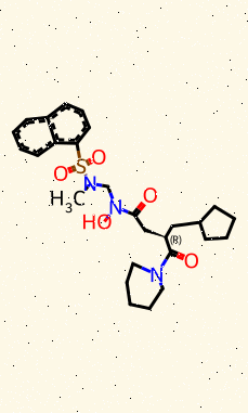 CN(CN(O)C(=O)C[C@@H](CC1CCCC1)C(=O)N1CCCCC1)S(=O)(=O)c1cccc2ccccc12